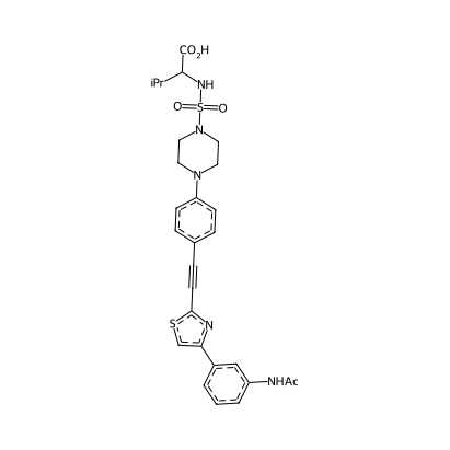 CC(=O)Nc1cccc(-c2csc(C#Cc3ccc(N4CCN(S(=O)(=O)NC(C(=O)O)C(C)C)CC4)cc3)n2)c1